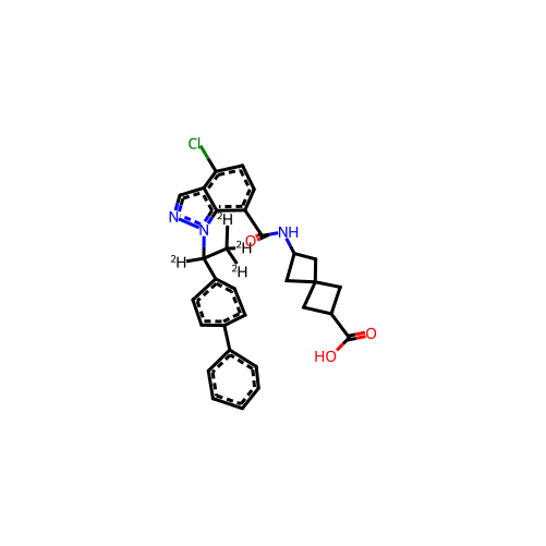 [2H]C([2H])([2H])C([2H])(c1ccc(-c2ccccc2)cc1)n1ncc2c(Cl)ccc(C(=O)NC3CC4(C3)CC(C(=O)O)C4)c21